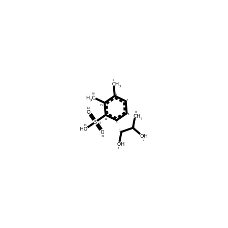 CC(O)CO.Cc1cccc(S(=O)(=O)O)c1C